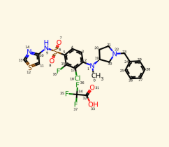 CN(c1ccc(S(=O)(=O)Nc2cscn2)c(F)c1Cl)[C@H]1CCN(Cc2ccccc2)C1.O=C(O)C(F)(F)F